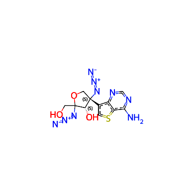 [N-]=[N+]=NC1(CO)OC[C@@](N=[N+]=[N-])(c2csc3c(N)ncnc23)[C@@H]1O